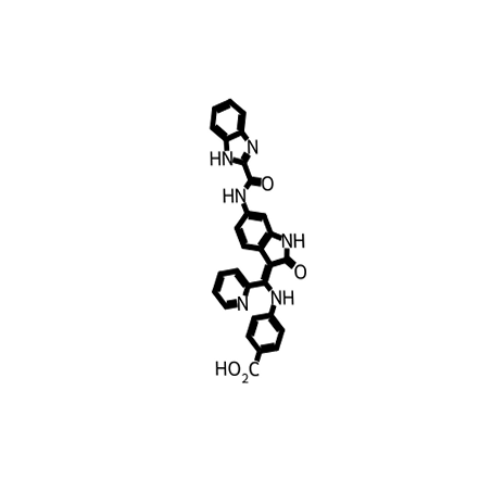 O=C1Nc2cc(NC(=O)c3nc4ccccc4[nH]3)ccc2/C1=C(/Nc1ccc(C(=O)O)cc1)c1ccccn1